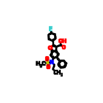 CCCN(c1cc2oc(-c3ccc(F)cc3)c(C(=O)O)c2cc1-c1ccccc1)S(C)(=O)=O